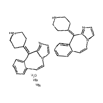 Br.Br.C1=Cn2ccnc2C(=C2CCNCC2)c2ccccc21.C1=Cn2ccnc2C(=C2CCNCC2)c2ccccc21.O